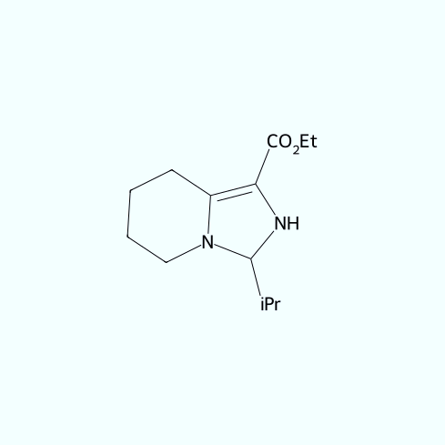 CCOC(=O)C1=C2CCCCN2C(C(C)C)N1